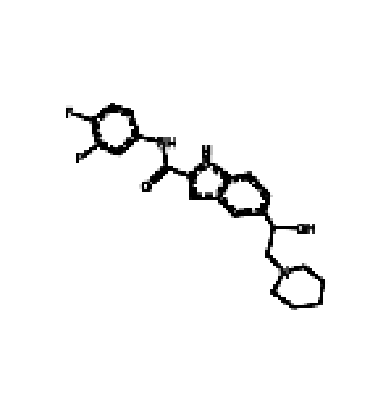 O=C(Nc1ccc(F)c(F)c1)c1cc2cc(C(O)CN3CCCCC3)ccc2[nH]1